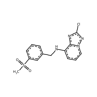 CS(=O)(=O)c1cccc(CNc2cccn3nc(Cl)nc23)c1